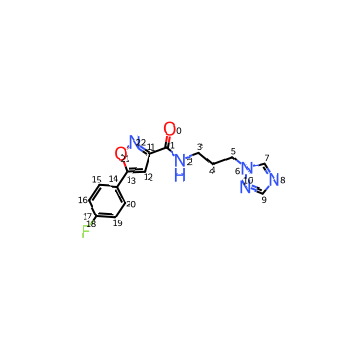 O=C(NCCCn1cncn1)c1cc(-c2ccc(F)cc2)on1